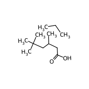 CC(CC(=O)O)CC(C)(C)C.CCC